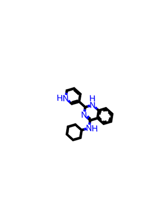 C1=CC(C2N=C(NC3CCCCC3)c3ccccc3N2)=CNC1